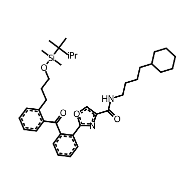 CC(C)C(C)(C)[Si](C)(C)OCCCc1ccccc1C(=O)c1ccccc1-c1nc(C(=O)NCCCCC2CCCCC2)co1